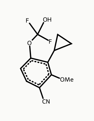 COc1c(C#N)ccc(OC(O)(F)F)c1C1CC1